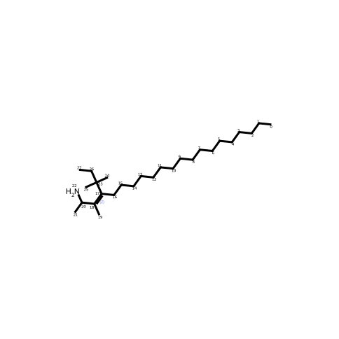 CCCCCCCCCCCCCCCCC/C(=C(\C)C(C)N)C(C)(C)CC